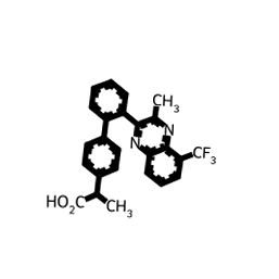 Cc1nc2c(C(F)(F)F)cccc2nc1-c1ccccc1-c1ccc(C(C)C(=O)O)cc1